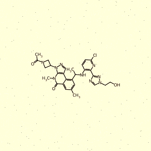 CC(=O)N1CC(n2ncc3c4c(C(C)Nc5ccc(Cl)nc5-c5ncn(CCO)n5)cc(C)cc4c(=O)n(C)c32)C1